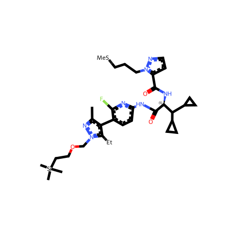 CCc1c(-c2ccc(NC(=O)[C@@H](NC(=O)c3ccnn3CCCSC)C(C3CC3)C3CC3)nc2F)c(C)nn1COCC[Si](C)(C)C